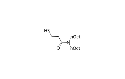 CCCCCCCCN(CCCCCCCC)C(=O)CCS